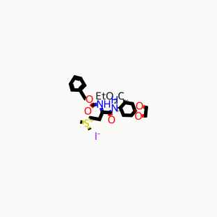 CCOC(=O)[C@@H]1CC2(CC[C@@H]1NC(=O)C(CC[S+](C)C)NC(=O)OCc1ccccc1)OCCO2.[I-]